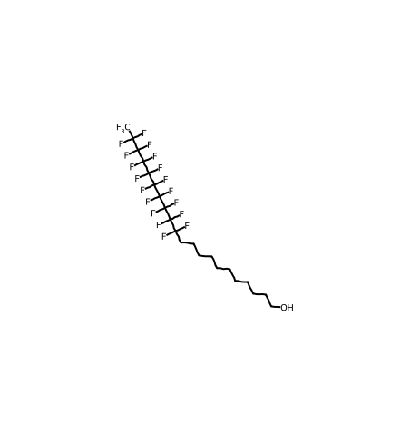 OCCCCCCCCCCCC(F)(F)C(F)(F)C(F)(F)C(F)(F)C(F)(F)C(F)(F)C(F)(F)C(F)(F)C(F)(F)C(F)(F)F